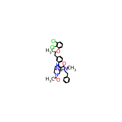 CC(=O)N1CC2CC(c3cccc(CC(C)Oc4cccc(Cl)c4Cl)c3)=C(C(=O)N(C)CCc3ccccc3)[C@@H](C1)N2